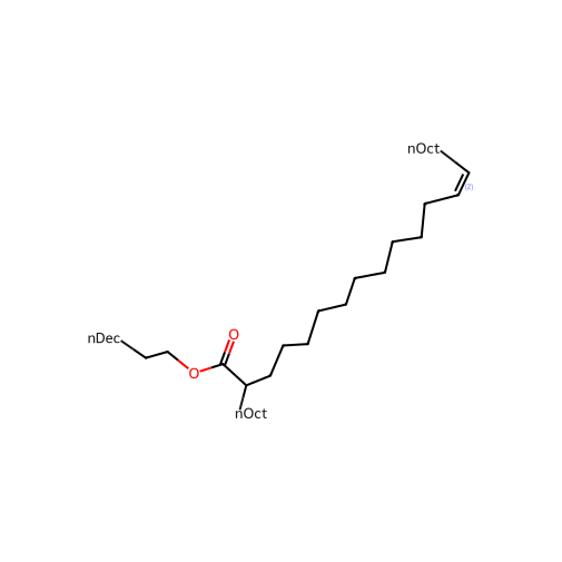 CCCCCCCC/C=C\CCCCCCCCCCC(CCCCCCCC)C(=O)OCCCCCCCCCCCC